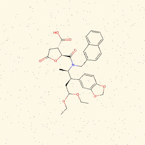 CCOC(C[C@H](c1ccc2c(c1)OCO2)[C@@H](C)N(Cc1ccc2ccccc2c1)C(=O)[C@H]1OC(=O)C[C@@H]1C(=O)O)OCC